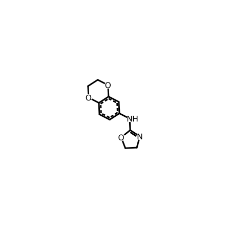 c1cc2c(cc1NC1=NCCO1)OCCO2